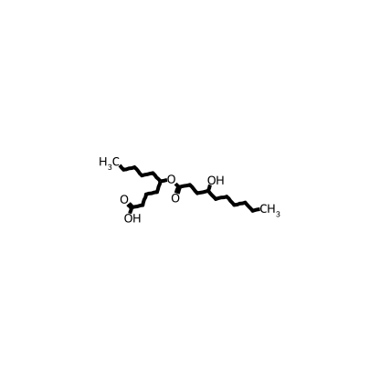 CCCCCCC(O)CCC(=O)OC(CCCCC)CCCC(=O)O